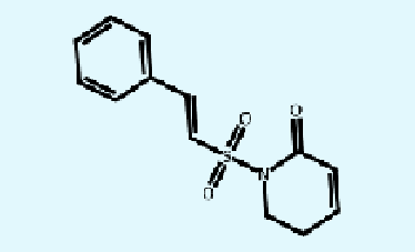 O=C1C=CCCN1S(=O)(=O)C=Cc1ccccc1